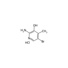 Cc1c(Br)cnc(N)c1O.Cl